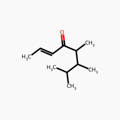 CC=CC(=O)C(C)C(C)C(C)C